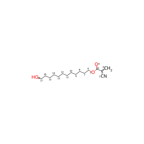 C=C(C#N)C(=O)OCCCCCCCCCCCCO